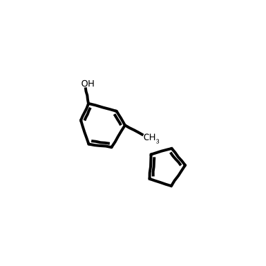 C1=CCC=C1.Cc1cccc(O)c1